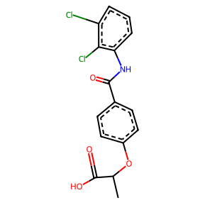 CC(Oc1ccc(C(=O)Nc2cccc(Cl)c2Cl)cc1)C(=O)O